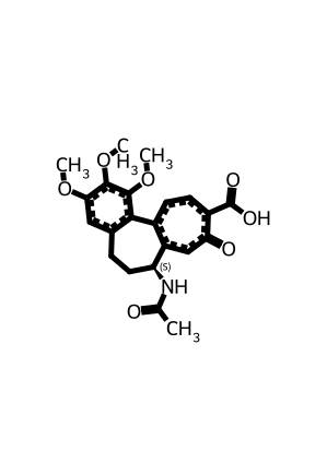 COc1cc2c(c(OC)c1OC)-c1ccc(C(=O)O)c(=O)cc1[C@@H](NC(C)=O)CC2